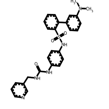 CN(C)c1cccc(-c2ccccc2S(=O)(=O)Nc2ccc(NC(=O)NCc3cccnc3)cc2)c1